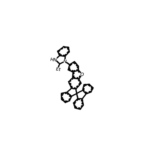 CCC1Nc2ccccc2N1c1ccc2oc3cc4c(cc3c2c1)-c1ccccc1C41c2ccccc2-c2ccccc21